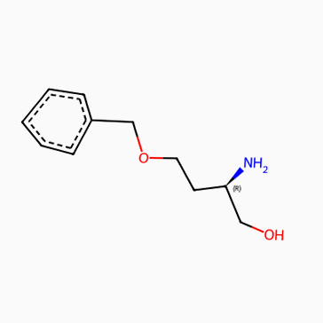 N[C@@H](CO)CCOCc1ccccc1